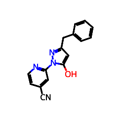 N#Cc1ccnc(-n2nc(Cc3ccccc3)cc2O)c1